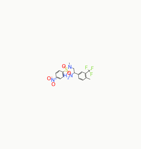 Cc1ccc(C(N)CN(C)S(=O)(=O)c2ccc([N+](=O)[O-])cc2)cc1C(F)(F)F